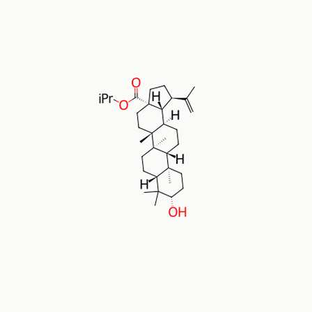 C=C(C)[C@@H]1CC[C@]2(C(=O)OC(C)C)CC[C@]3(C)[C@H](CC[C@@H]4[C@@]5(C)CC[C@H](O)C(C)(C)[C@@H]5CC[C@]43C)[C@@H]12